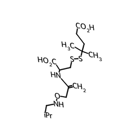 C=C(CONCC(C)C)NC(CSSC(C)(C)CCC(=O)O)C(=O)O